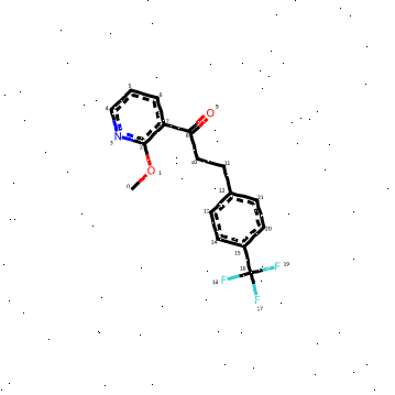 COc1ncccc1C(=O)CCc1ccc(C(F)(F)F)cc1